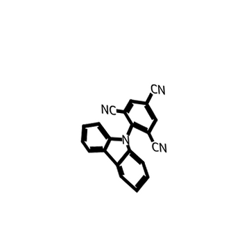 N#Cc1cc(C#N)c(-n2c3ccccc3c3ccccc32)c(C#N)c1